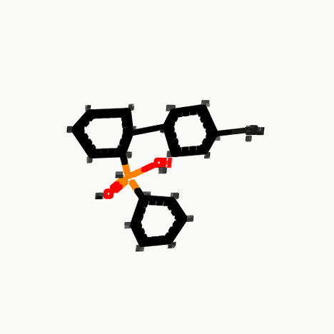 CC(C)(C)c1ccc(-c2ccccc2P(=O)(O)c2ccccc2)cc1